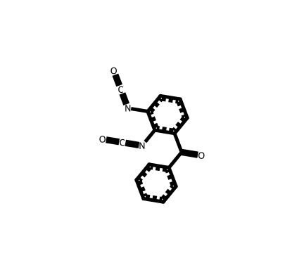 O=C=Nc1cccc(C(=O)c2ccccc2)c1N=C=O